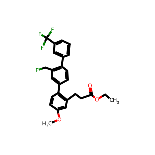 CCOC(=O)CCc1cc(OC)ccc1-c1ccc(-c2cccc(C(F)(F)F)c2)c(CF)c1